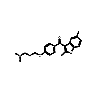 Cc1ccc2oc(C)c(C(=O)c3ccc(OCCCN(C)C)cc3)c2c1